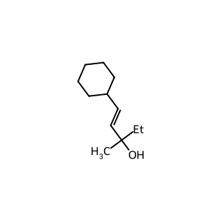 CCC(C)(O)C=CC1CCCCC1